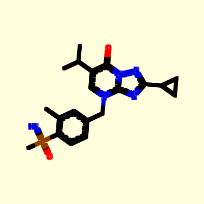 Cc1cc(Cn2cc(C(C)C)c(=O)n3nc(C4CC4)nc23)ccc1S(C)(=N)=O